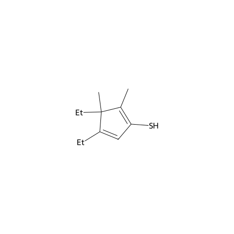 CCC1=CC(S)=C(C)C1(C)CC